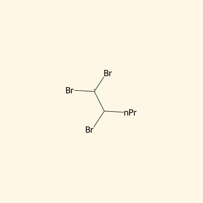 CCCC(Br)[C](Br)Br